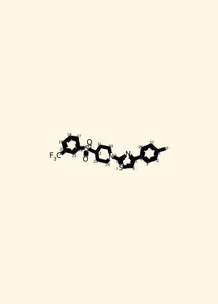 Cc1ccc(-c2csc(N3CCC(S(=O)(=O)c4cccc(C(F)(F)F)c4)CC3)n2)cc1